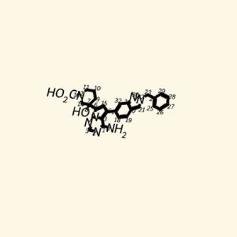 Nc1ncnn2c(C3(O)CCCN(C(=O)O)C3)cc(-c3ccc4cn(Cc5ccccc5)nc4c3)c12